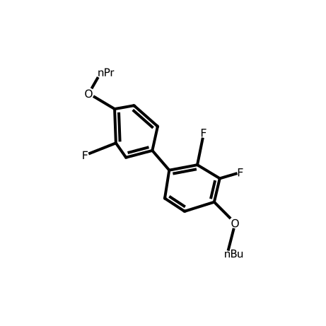 CCCCOc1ccc(-c2ccc(OCCC)c(F)c2)c(F)c1F